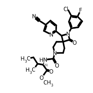 CCC(C)[C@H](NC(=O)N1CCC2(CC1)C(=O)N(c1ccc(F)c(Cl)c1)C2c1ccc(C#N)cn1)C(=O)OC